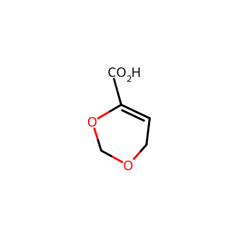 O=C(O)C1=CCOCO1